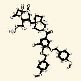 BOC(=O)C1=C(C[N+]23CCC[C@H]2CN(C(=O)c2cc(Cl)c(OCc4ccc(OC)cc4)c(OCc4ccc(OC)cc4)c2)CC3)C[S+]([O-])[C@@H]2CC(=O)N12